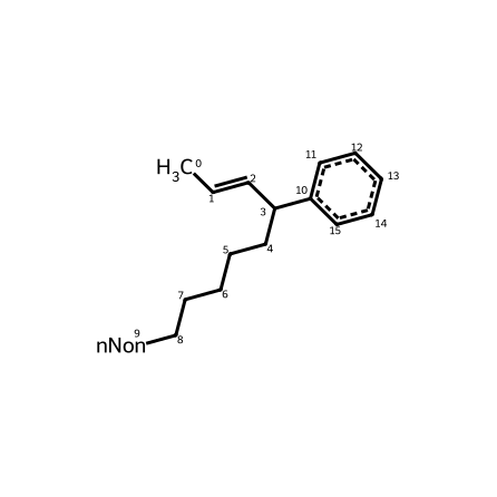 CC=CC(CCCCCCCCCCCCCC)c1ccccc1